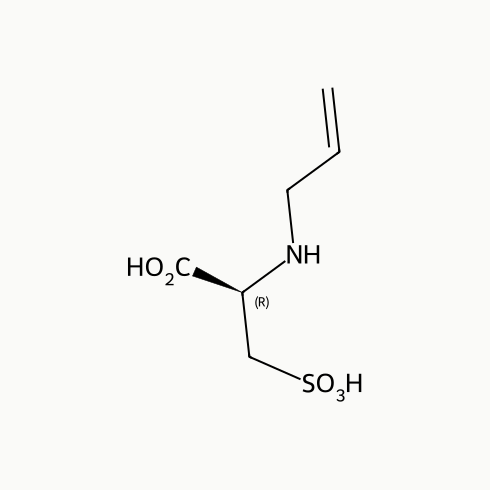 C=CCN[C@@H](CS(=O)(=O)O)C(=O)O